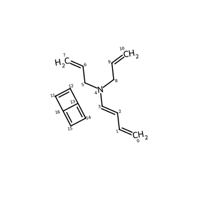 C=CC=CN(CC=C)CC=C.c1cc2ccc1-2